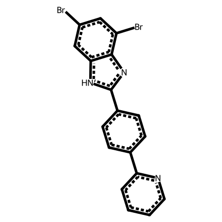 Brc1cc(Br)c2nc(-c3ccc(-c4ccccn4)cc3)[nH]c2c1